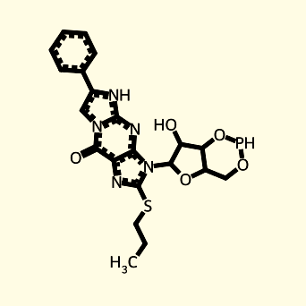 CCCSc1nc2c(=O)n3cc(-c4ccccc4)[nH]c3nc2n1C1OC2COPOC2C1O